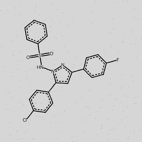 O=S(=O)(Nn1nc(-c2ccc(F)cc2)cc1-c1ccc(Cl)cc1)c1ccccc1